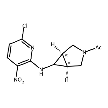 CC(=O)N1C[C@@H]2C(Nc3nc(Cl)ccc3[N+](=O)[O-])[C@@H]2C1